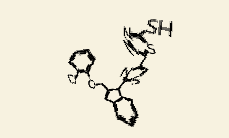 Sc1nnc(-c2csc(C3C(COc4ccccc4Cl)=Cc4ccccc43)n2)s1